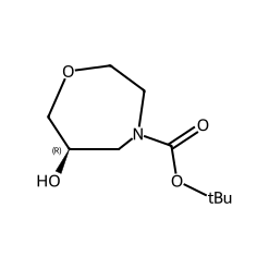 CC(C)(C)OC(=O)N1CCOC[C@H](O)C1